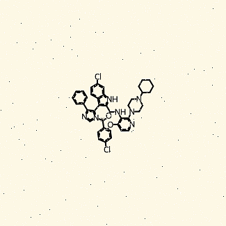 COc1ccnc(N2CCN(C3CCCCC3)CC2)c1NC(=O)c1[nH]c2cc(Cl)ccc2c1-c1c(-c2ccccc2)ncn1[C@@H](C)c1ccc(Cl)cc1